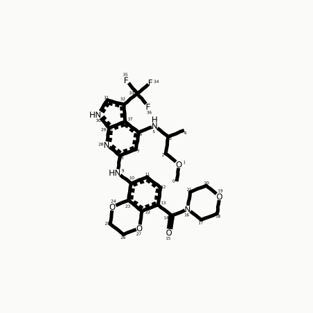 COCC(C)Nc1cc(Nc2ccc(C(=O)N3CCOCC3)c3c2OCCO3)nc2[nH]cc(C(F)(F)F)c12